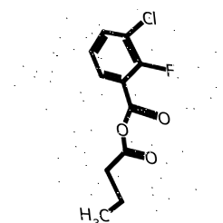 CCCC(=O)OC(=O)c1cccc(Cl)c1F